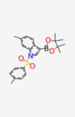 Cc1ccc(S(=O)(=O)n2cc(B3OC(C)(C)C(C)(C)O3)c3ccc(C)cc32)cc1